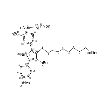 CCCCCCCCCCCCCCCCCCCC1=C(c2cccc(CCCC)c2)[N+](=[N-])C(c2ccc(CCCCCC)cc2)=C1CCCC.CCCCCCCC[CH2][Ni][CH2]CCCCCCCC